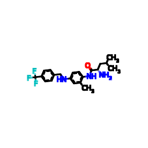 Cc1cc(NCc2ccc(C(F)(F)F)cc2)ccc1NC(=O)[C@@H](N)CC(C)C